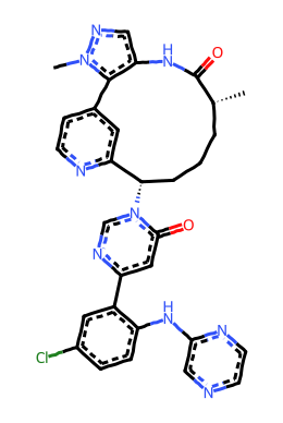 C[C@@H]1CCC[C@H](n2cnc(-c3cc(Cl)ccc3Nc3cnccn3)cc2=O)c2cc(ccn2)-c2c(cnn2C)NC1=O